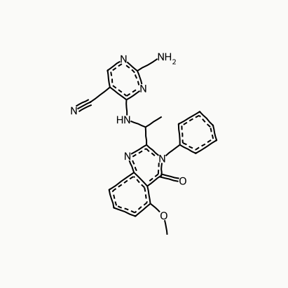 COc1cccc2nc(C(C)Nc3nc(N)ncc3C#N)n(-c3ccccc3)c(=O)c12